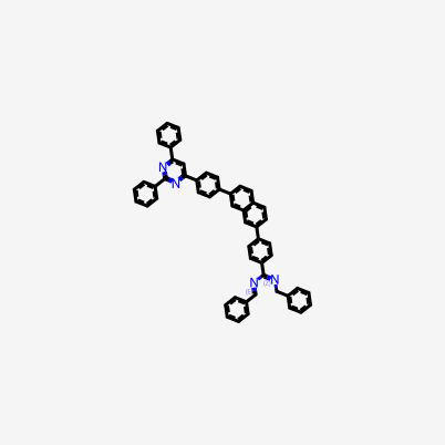 C(=N\C(=N/Cc1ccccc1)c1ccc(-c2ccc3ccc(-c4ccc(-c5cc(-c6ccccc6)nc(-c6ccccc6)n5)cc4)cc3c2)cc1)/c1ccccc1